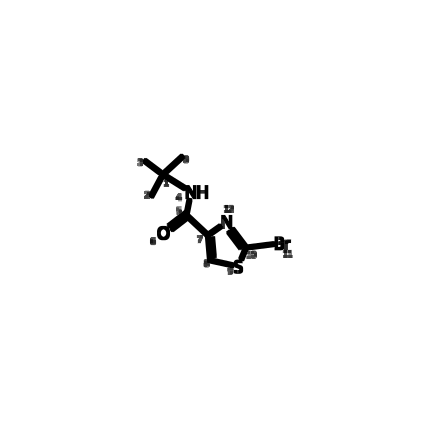 CC(C)(C)NC(=O)c1csc(Br)n1